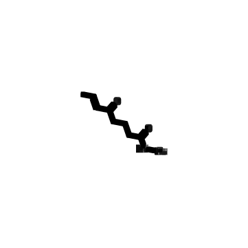 C/C=C/C(=O)CCCC(=O)NC(C)(C)C